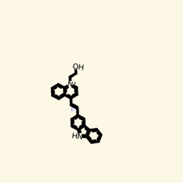 OCC[n+]1ccc(/C=C/c2ccc3[nH]c4ccccc4c3c2)c2ccccc21